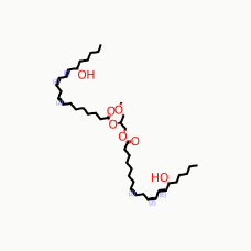 CCCCCC(O)/C=C/C=C\C/C=C\CCCCCCC(=O)OCC(COC)OC(=O)CCCCCC/C=C\C/C=C\C=C\C(O)CCCCC